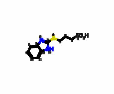 O=S(=O)(O)CCCSc1nc2ccccc2[nH]1